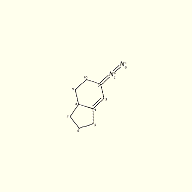 [N-]=[N+]=C1C=C2CCCC2CC1